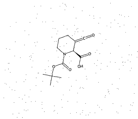 CC(C)(C)OC(=O)N1CCCC(=C=O)[C@H]1C(=O)O